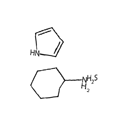 NC1CCCCC1.S.c1cc[nH]c1